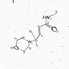 CNC(=O)C=CC(C)(C)N1CCOCC1